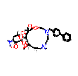 CO[C@]1(C)C[C@@H](C)CN(C)CCCN(Cc2ccc(-c3ccccc3)cc2)CCOC(=O)C(C)(C)C(=O)[C@H](C)[C@H]1O[C@@H]1O[C@H](C)C[C@H](N(C)C)[C@H]1O